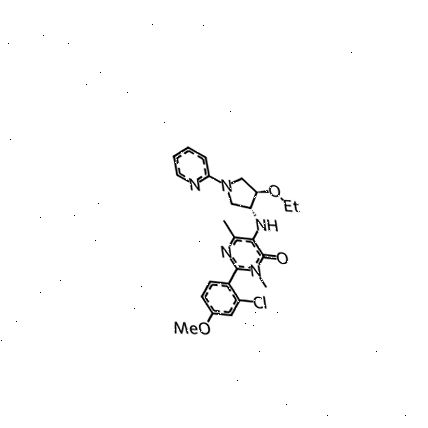 CCO[C@@H]1CN(c2ccccn2)C[C@H]1Nc1c(C)nc(-c2ccc(OC)cc2Cl)n(C)c1=O